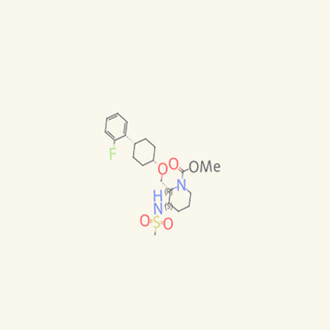 COC(=O)N1CCC[C@H](NS(C)(=O)=O)[C@@H]1CO[C@H]1CC[C@@H](c2ccccc2F)CC1